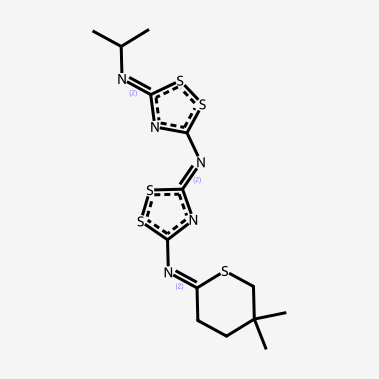 CC(C)/N=c1/nc(/N=c2/nc(/N=C3/CCC(C)(C)CS3)ss2)ss1